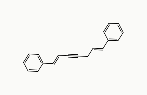 C(#CCC=Cc1ccccc1)C=Cc1ccccc1